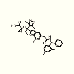 CCC(OC1(C(=O)O)CC1)(c1cc2cc(CC(=O)NC(c3ccccc3)c3ccc(C)cc3C)cc(F)c2o1)c1c(C)noc1C